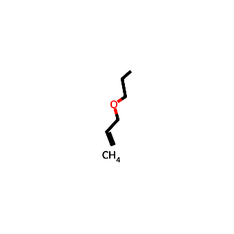 C.C=CCOCCC